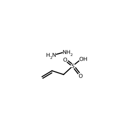 C=CCS(=O)(=O)O.NN